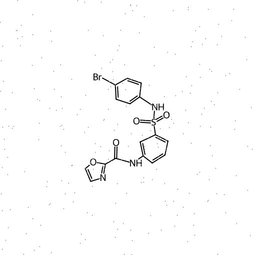 O=C(Nc1cccc(S(=O)(=O)Nc2ccc(Br)cc2)c1)c1ncco1